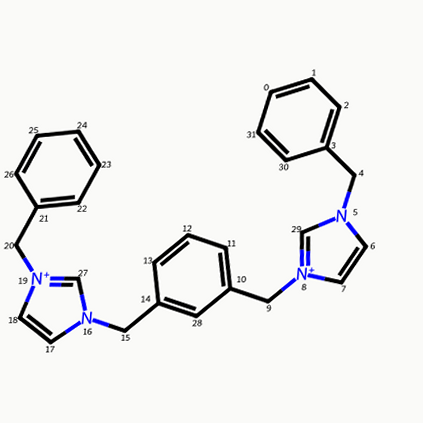 c1ccc(Cn2cc[n+](Cc3cccc(Cn4cc[n+](Cc5ccccc5)c4)c3)c2)cc1